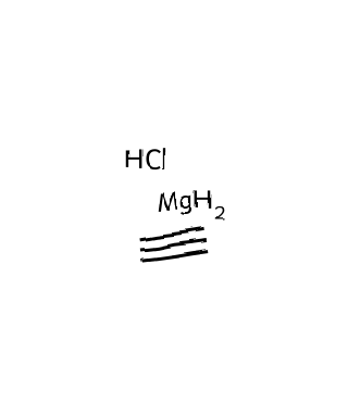 C#C.Cl.[MgH2]